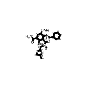 CCC(C)c1c(C(N)=O)cc(OC)c(NCc2ccccc2)c1C(=O)N(C)Cc1nc(C)cs1